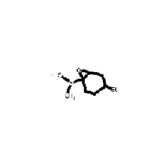 CCC1CCC2([Si](C)C)OC2C1